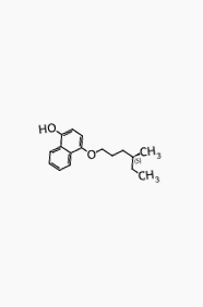 CC[C@H](C)CCCOc1ccc(O)c2ccccc12